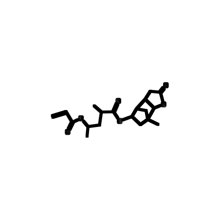 C=CC(=O)OC(C)CC(C)C(=O)OC1CC2(C)CC1C1CC(=O)OC12